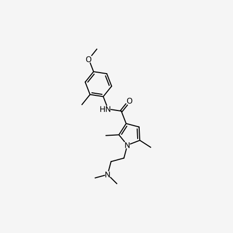 COc1ccc(NC(=O)c2cc(C)n(CCN(C)C)c2C)c(C)c1